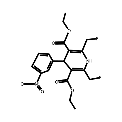 CCOC(=O)C1=C(CF)NC(CF)=C(C(=O)OCC)C1c1cccc([N+](=O)[O-])c1